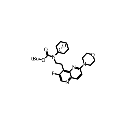 CC(C)(C)OC(=O)N(CCc1c(F)cnc2ccc(N3CCOCC3)nc12)C12CCC(CC1)OC2